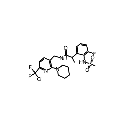 CC(C(=O)NCc1ccc(C(F)(F)Cl)nc1N1CCCCC1)c1cccc(F)c1NS(C)(=O)=O